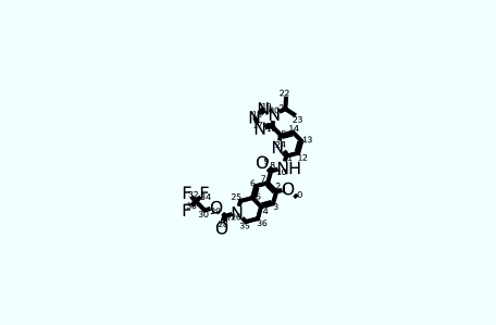 COc1cc2c(cc1C(=O)Nc1cccc(-c3nnnn3C(C)C)n1)CN(C(=O)OCC(F)(F)F)CC2